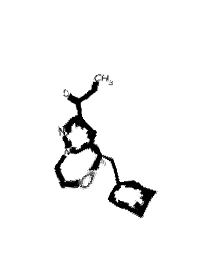 CCC(=O)c1cc2n(n1)CCO[C@@H]2Cc1ccccc1